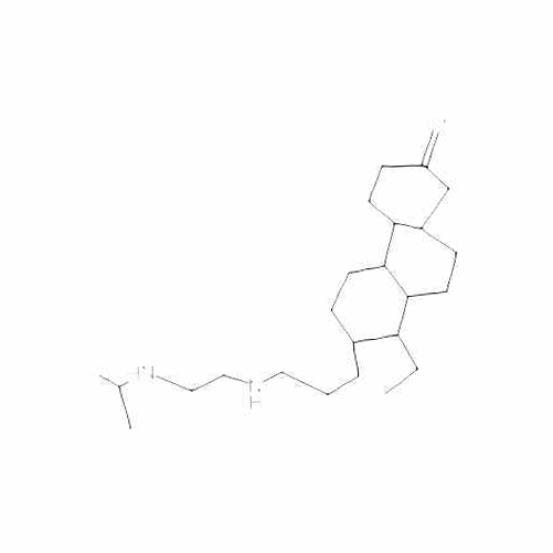 CC(C)NCCNC[C@@H](C)[C@H]1CCC2C3CCC4CC(=O)CC[C@]4(C)C3CC[C@@]21C